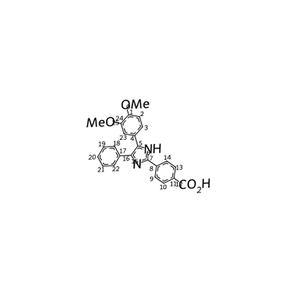 COc1ccc(-c2[nH]c(-c3ccc(C(=O)O)cc3)nc2-c2ccccc2)cc1OC